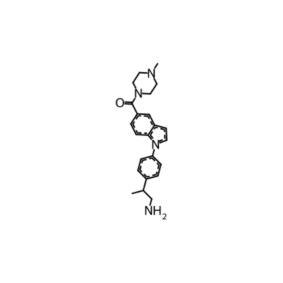 CC(CN)c1ccc(-n2ccc3cc(C(=O)N4CCN(C)CC4)ccc32)cc1